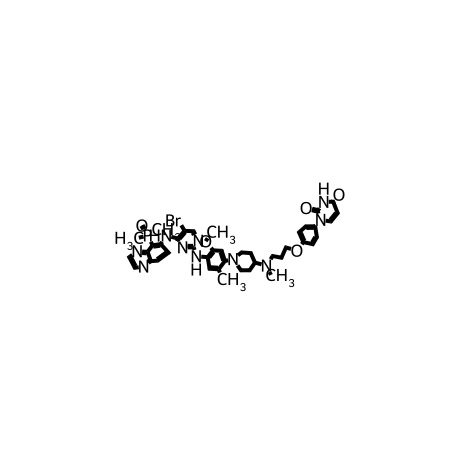 COc1cc(N2CCC(N(C)CCCOc3ccc(-n4ccc(=O)[nH]c4=O)cc3)CC2)c(C)cc1Nc1ncc(Br)c(Nc2ccc3nccnc3c2P(C)(C)=O)n1